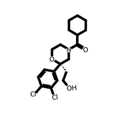 O=C(C1CCCCC1)N1CCO[C@](CCO)(c2ccc(Cl)c(Cl)c2)C1